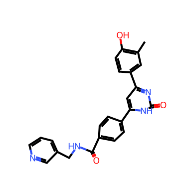 Cc1cc(-c2cc(-c3ccc(C(=O)NCc4cccnc4)cc3)[nH]c(=O)n2)ccc1O